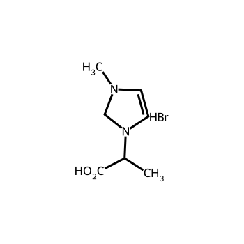 Br.CC(C(=O)O)N1C=CN(C)C1